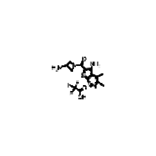 Cc1nnc2sc(C(=O)N3CC(N)C3)c(N)c2c1C.O=C(O)C(F)(F)F